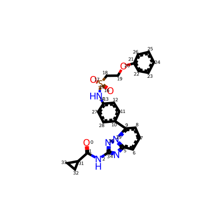 O=C(Nc1nc2cccc(-c3ccc(NS(=O)(=O)CCOc4ccccc4)cc3)n2n1)C1CC1